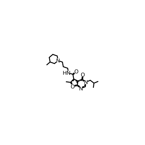 Cc1oc2ncn(CC(C)C)c(=O)c2c1C(=O)NCCCN1CCCC(C)C1